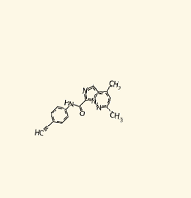 C#Cc1ccc(NC(=O)c2ncc3c(C)cc(C)nn23)cc1